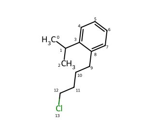 CC(C)c1ccccc1CCCCCl